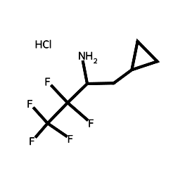 Cl.NC(CC1CC1)C(F)(F)C(F)(F)F